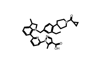 CCc1cc(CN2CC(C)c3cccc(-c4cccc(-n5ncc(C(=O)O)c5C)n4)c32)ccc1C1CCN(C(=O)C2CC2)CC1